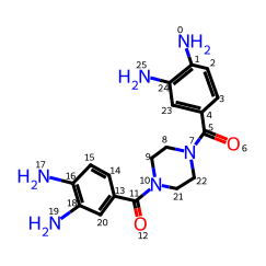 Nc1ccc(C(=O)N2CCN(C(=O)c3ccc(N)c(N)c3)CC2)cc1N